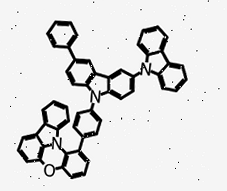 c1ccc(-c2ccc3c(c2)c2cc(-n4c5ccccc5c5ccccc54)ccc2n3-c2ccc(-c3cccc4c3-n3c5ccccc5c5cccc(c53)O4)cc2)cc1